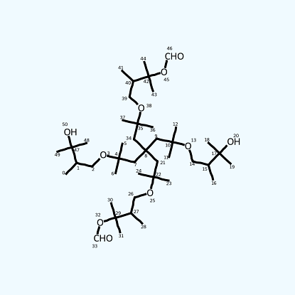 CC(COC(C)(C)CC(CC(C)(C)OCC(C)C(C)(C)O)(CC(C)(C)OCC(C)C(C)(C)OC=O)CC(C)(C)OCC(C)C(C)(C)OC=O)C(C)(C)O